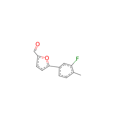 Cc1ccc(-c2ccc(C=O)o2)cc1F